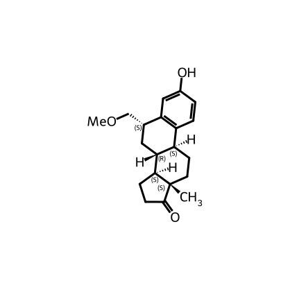 COC[C@H]1C[C@@H]2[C@H](CC[C@]3(C)C(=O)CC[C@@H]23)c2ccc(O)cc21